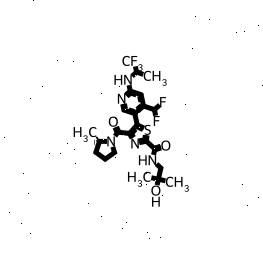 CC(Nc1cc(C(F)F)c(-c2sc(C(=O)NCC(C)(C)O)nc2C(=O)N2CCC[C@@H]2C)cn1)C(F)(F)F